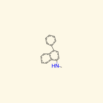 CNc1ccc(-c2ccccc2)c2ccccc12